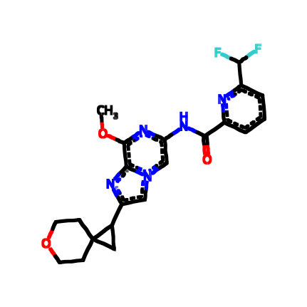 COc1nc(NC(=O)c2cccc(C(F)F)n2)cn2cc(C3CC34CCOCC4)nc12